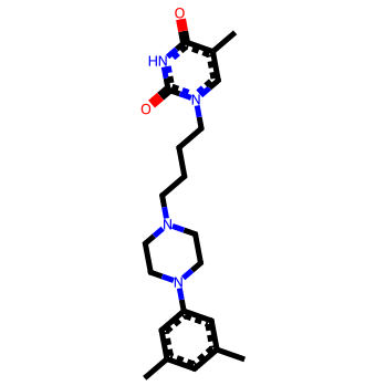 Cc1cc(C)cc(N2CCN(CCCCn3cc(C)c(=O)[nH]c3=O)CC2)c1